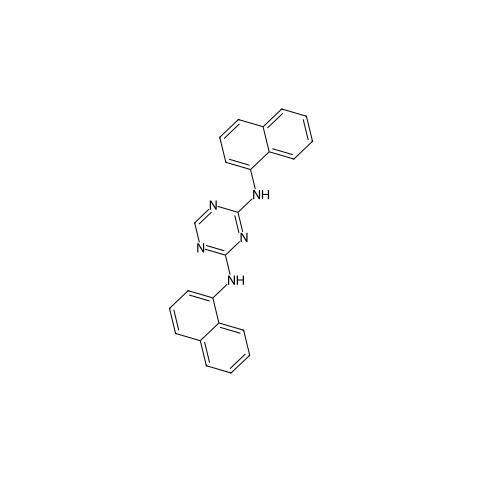 c1ccc2c(Nc3ncnc(Nc4cccc5ccccc45)n3)cccc2c1